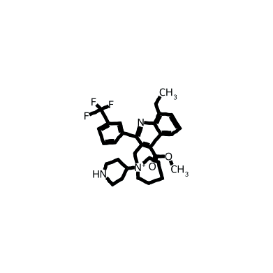 CCc1cccc2c(C(=O)OC)c(C[N+]3(C4CCNCC4)CCCCC3)c(-c3cccc(C(F)(F)F)c3)nc12